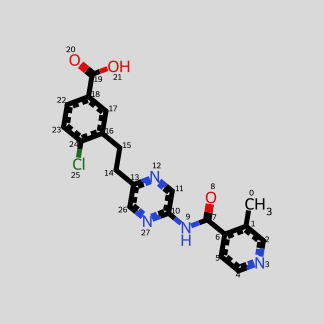 Cc1cnccc1C(=O)Nc1cnc(CCc2cc(C(=O)O)ccc2Cl)cn1